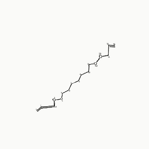 C=C=COOCCCCCCCOOCC=C